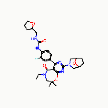 CCN1CC(C)(C)Oc2nc(N3CC4CCC(C3)O4)nc(-c3ccc(NC(=O)NCC4CCCO4)c(F)c3)c2C1=O